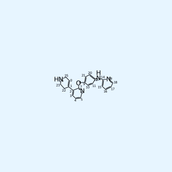 C1=C(c2cccnc2Oc2ccc(Nc3ccccn3)cc2)CCNC1